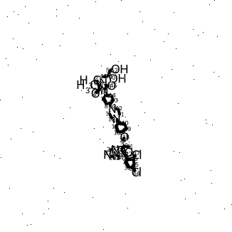 CC1(C)C(=O)N(c2ccc(N3CCN(c4ccc(OC[C@@H]5CO[C@@](Cn6cncn6)(c6ccc(Cl)cc6Cl)O5)cc4)CC3)cc2)C(=O)N1CC(O)CO